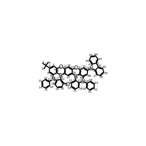 CC(C)(C)c1cc2c3c(c1)N(c1ccccc1)c1cccc4c1B3c1cc3c(cc1O2)Oc1cc(-n2c5ccccc5c5ccccc52)cc2c1B3c1c(cccc1N2c1ccccc1)O4